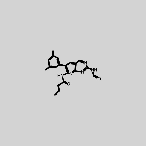 CCCC(=O)Nc1nc2nc(NC=O)ncc2cc1-c1cc(C)cc(C)c1